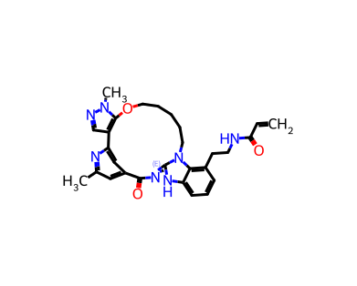 C=CC(=O)NCCc1cccc2c1N1CCCCCOc3c(cnn3C)-c3cc(cc(C)n3)C(=O)/N=C/1N2